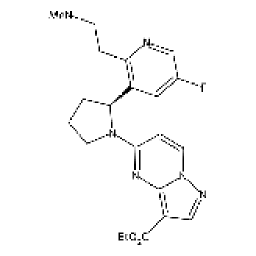 CCOC(=O)c1cnn2ccc(N3CCC[C@H]3c3cc(F)cnc3CCNC)nc12